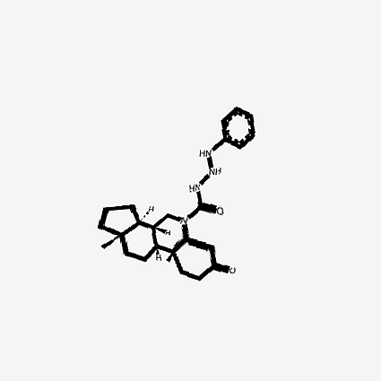 C[C@@]12CCC[C@H]1[C@@H]1CN(C(=O)NNNc3ccccc3)C3=CC(=O)CC[C@]3(C)[C@H]1CC2